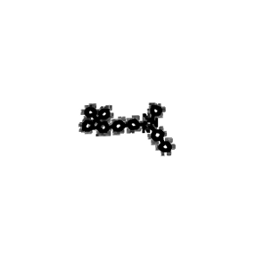 c1ccc(-c2ccc(-c3nc(-c4ccccc4)nc(-c4ccc(-c5ccc(-c6ccc7c(c6)C(c6ccccc6)(c6ccccc6)c6ccccc6-7)cc5)cc4)n3)cc2)cc1